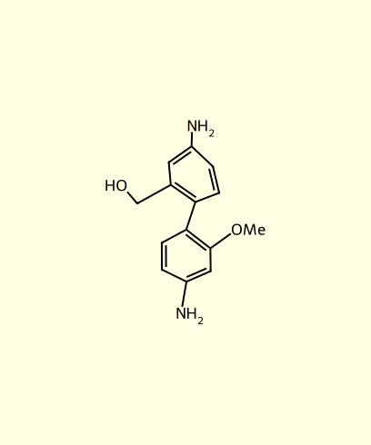 COc1cc(N)ccc1-c1ccc(N)cc1CO